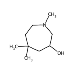 CN1CCC(C)(C)CC(O)C1